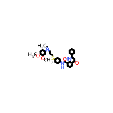 CCN(CCCSc1ccc(NC(=O)c2cccc3c(=O)cc(-c4ccccc4)[nH]c23)cc1)c1ccc(OC)c(OC)c1